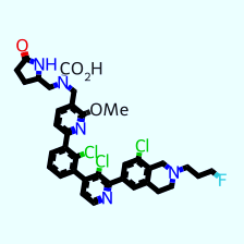 COc1nc(-c2cccc(-c3ccnc(-c4cc(Cl)c5c(c4)CCN(CCCF)C5)c3Cl)c2Cl)ccc1CN(CC1CCC(=O)N1)C(=O)O